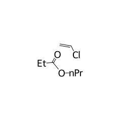 C=CCl.CCCOC(=O)CC